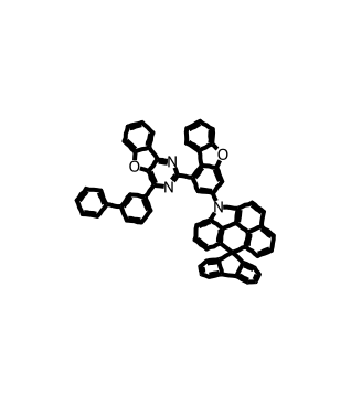 c1ccc(-c2cccc(-c3nc(-c4cc(-n5c6cccc7c6c6c8c(cccc8ccc65)C75c6ccccc6-c6ccccc65)cc5oc6ccccc6c45)nc4c3oc3ccccc34)c2)cc1